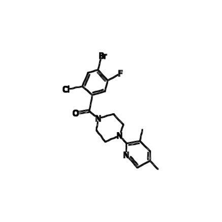 Cc1cnc(N2CCN(C(=O)c3cc(F)c(Br)cc3Cl)CC2)c(C)c1